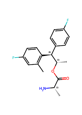 Cc1cc(F)ccc1[C@@H](c1ccc(F)cc1)[C@H](C)OC(=O)[C@H](C)N